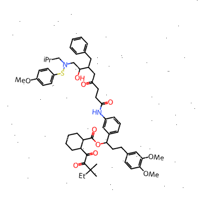 CCC(C)(C)C(=O)C(=O)C1CCCCC1C(=O)OC(CCc1ccc(OC)c(OC)c1)c1cccc(NC(=O)CCC(=O)CC(Cc2ccccc2)C(O)CN(CC(C)C)Sc2ccc(OC)cc2)c1